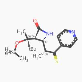 C[C@@H](C(=S)c1ccncc1)[C@H]1NC(=O)[C@@H]1[C@@](C)(O[SiH](C)C)C(C)(C)C